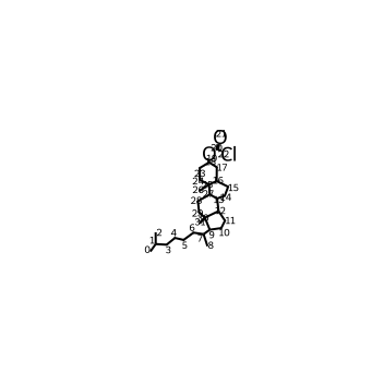 CC(C)CCCCC(C)C1CCC2C3CCC4CC(OC(=O)Cl)CCC4(C)C3CCC12C